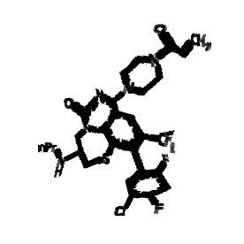 C=CC(=O)N1CCN(c2nc(=O)n3c4c(c(-c5cc(Cl)c(F)cc5F)c(C(F)(F)F)cc24)SCC(NCCC)C3)CC1